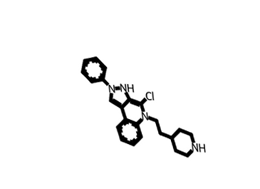 ClC1=C2NN(c3ccccc3)C=C2c2ccccc2N1CCC1CCNCC1